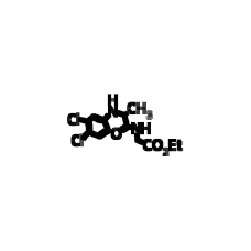 CCOC(=O)CNC(=O)[C@H](C)Nc1ccc(Cl)c(Cl)c1